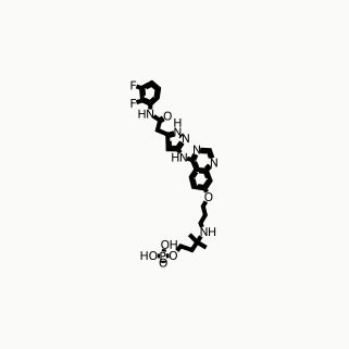 CC(C)(CCOP(=O)(O)O)NCCCOc1ccc2c(Nc3cc(CC(=O)Nc4cccc(F)c4F)[nH]n3)ncnc2c1